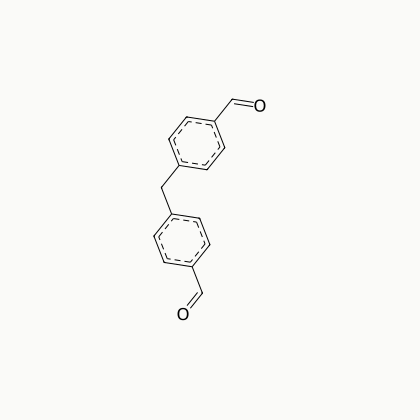 O=Cc1ccc(Cc2ccc(C=O)cc2)cc1